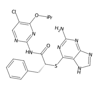 CC(C)Oc1nc(NC(=O)[C@@H](Cc2ccccc2)Sc2nc(N)nc3nc[nH]c23)ncc1Cl